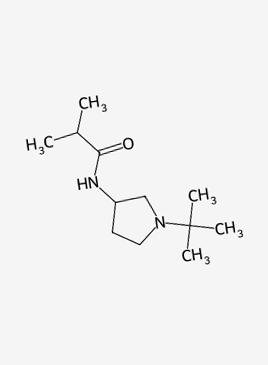 CC(C)C(=O)NC1CCN(C(C)(C)C)C1